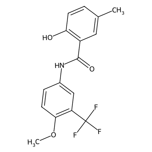 COc1ccc(NC(=O)c2cc(C)ccc2O)cc1C(F)(F)F